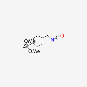 CO[Si](C)(OC)C1CCC(CN=C=O)CC1